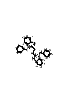 c1ccc(Cn2c(CCc3nc4ccccc4n3Cc3ccccc3)nc3ccccc32)cc1